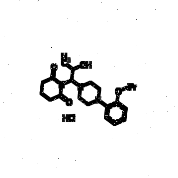 CC(C)Oc1ccccc1N1CCN(C(C(C)O)N2C(=O)CCCC2=O)CC1.Cl